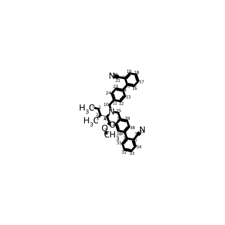 CCC(C)[C@@H](C(=O)OC)N(Cc1ccc(-c2ccccc2C#N)cc1)Cc1ccc(-c2ccccc2C#N)cc1